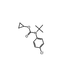 CC(C)(C)N(C(=O)OC1CC1)c1ccc(Cl)cc1